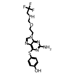 Nc1nc(Sc2ccc(O)cc2)c2ncn(CCOCPCC(F)(F)F)c2n1